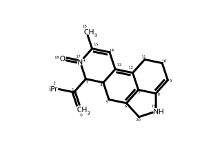 C=C(C(C)C)C1C2CC3=C4C(=CCCC4=C2C=C(C)[N+]1=O)NC3